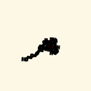 CC(=O)c1c([C@H]2C[C@H]3CC[C@@H](C2)N3C(=O)c2nnc[nH]2)nc2c(-c3ccc(C#CCOCCO)nc3)cnn2c1N